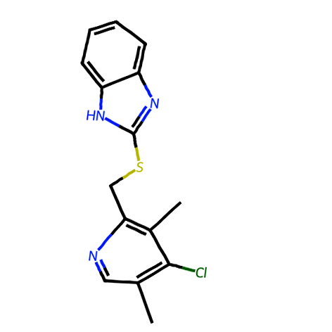 Cc1cnc(CSc2nc3ccccc3[nH]2)c(C)c1Cl